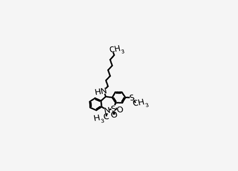 CCCCCCCCNC1c2ccccc2N(C)S(=O)(=O)c2cc(SC)ccc21